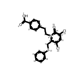 O=C(O)c1ccc(CCn2c(CSc3ccccc3)c(Cl)cc(Cl)c2=O)cc1